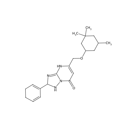 CC1CC(OCC2=CC(=O)N3NC(C4=CCCC=C4)N=C3N2)CC(C)(C)C1